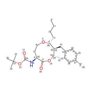 CCCC[C@H]1OCC[C@H](NC(=O)OC(C)(C)C)C(=O)O[C@@H](C)[C@@H]1Cc1ccc(F)cc1